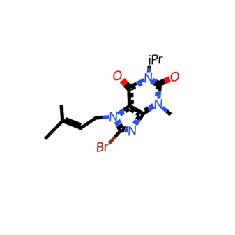 CC(C)=CCn1c(Br)nc2c1c(=O)n(C(C)C)c(=O)n2C